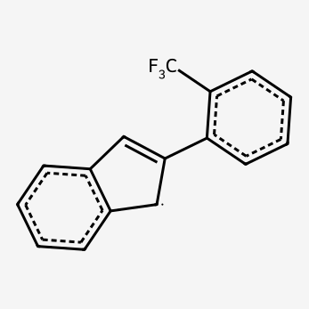 FC(F)(F)c1ccccc1C1=Cc2ccccc2[CH]1